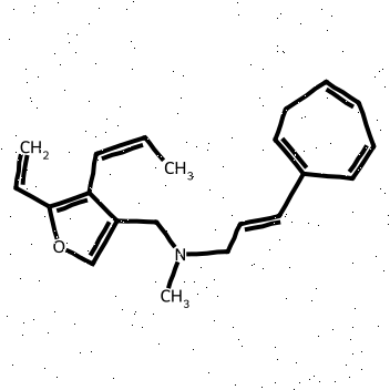 C=Cc1occ(CN(C)C/C=C/C2=CCC=CC=C2)c1/C=C\C